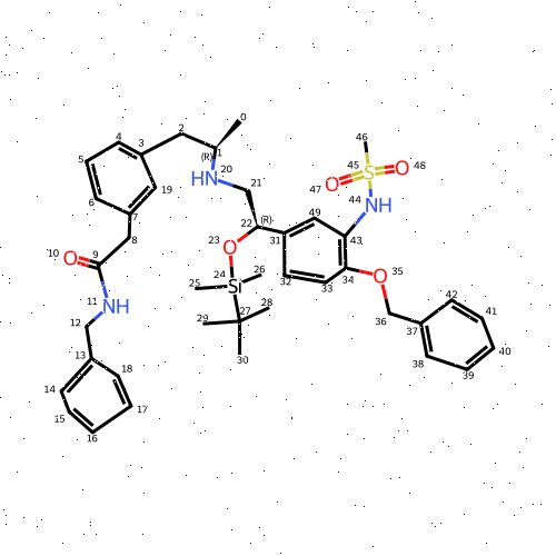 C[C@H](Cc1cccc(CC(=O)NCc2ccccc2)c1)NC[C@H](O[Si](C)(C)C(C)(C)C)c1ccc(OCc2ccccc2)c(NS(C)(=O)=O)c1